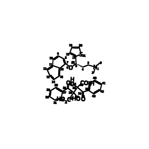 CN(C)CC[C@H](Oc1cccc2ccccc12)c1cccs1.O=C(O)C(O)(C(=O)c1ccccc1)C(O)(C(=O)O)C(=O)c1ccccc1